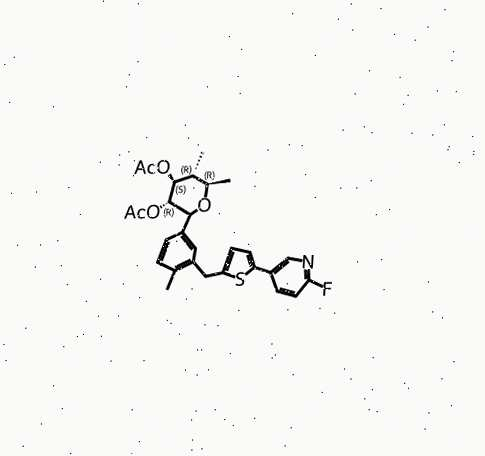 CC(=O)O[C@H]1[C@H](C)[C@@H](C)OC(c2ccc(C)c(Cc3ccc(-c4ccc(F)nc4)s3)c2)[C@@H]1OC(C)=O